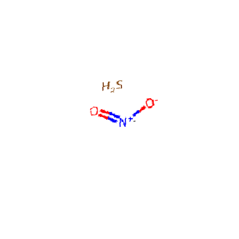 O=[N+][O-].S